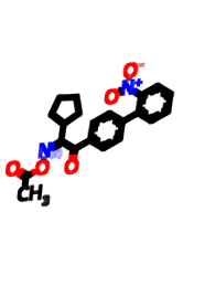 CC(=O)O/N=C(\C(=O)c1ccc(-c2ccccc2[N+](=O)[O-])cc1)C1CCCC1